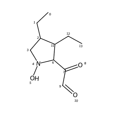 CCC1CN(O)C(C(=O)C=O)C1CC